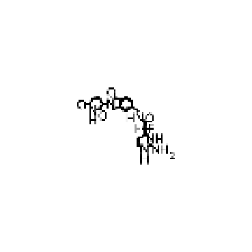 NC1NCCC(C(F)(F)C(=O)NCc2ccc3c(c2)CN(C2CCC(=O)NC2=O)C3=O)N1